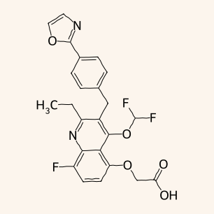 CCc1nc2c(F)ccc(OCC(=O)O)c2c(OC(F)F)c1Cc1ccc(-c2ncco2)cc1